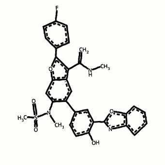 C=C(NC)c1c(-c2ccc(F)cc2)oc2cc(N(C)S(C)(=O)=O)c(-c3ccc(O)c(-c4nc5ccccc5o4)c3)cc12